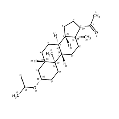 CC(=O)[C@H]1CC[C@H]2[C@@H]3CC[C@H]4C[C@@H](OC(C)I)CC[C@]4(C)[C@H]3CC[C@]12C